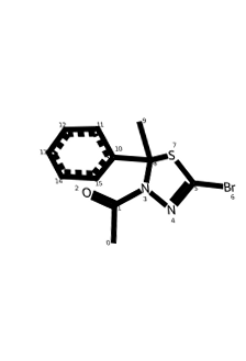 CC(=O)N1N=C(Br)SC1(C)c1ccccc1